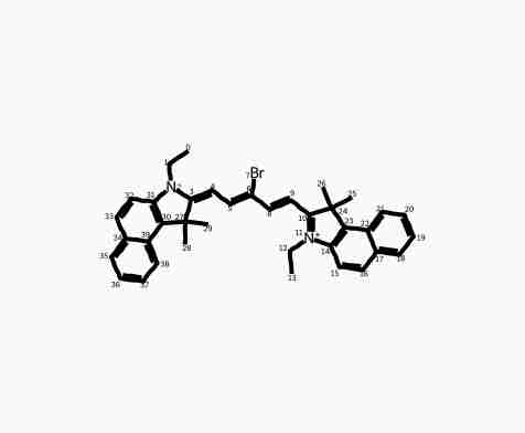 CCN1/C(=C/C=C(Br)/C=C/C2=[N+](CC)c3ccc4ccccc4c3C2(C)C)C(C)(C)c2c1ccc1ccccc21